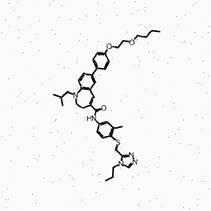 CCCCOCCOc1ccc(-c2ccc3c(c2)C=C(C(=O)Nc2ccc(SCc4nncn4CCC)c(C)c2)CCN3CC(C)C)cc1